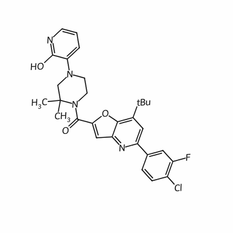 CC(C)(C)c1cc(-c2ccc(Cl)c(F)c2)nc2cc(C(=O)N3CCN(c4cccnc4O)CC3(C)C)oc12